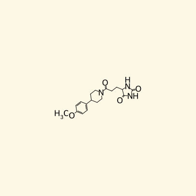 COc1ccc(C2CCN(C(=O)CCC3NC(=O)NC3=O)CC2)cc1